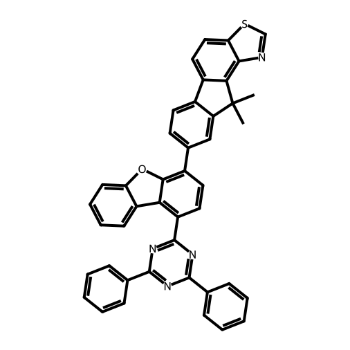 CC1(C)c2cc(-c3ccc(-c4nc(-c5ccccc5)nc(-c5ccccc5)n4)c4c3oc3ccccc34)ccc2-c2ccc3scnc3c21